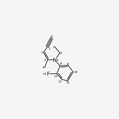 C#C/C=C(/C)N(CC)c1ccccc1F